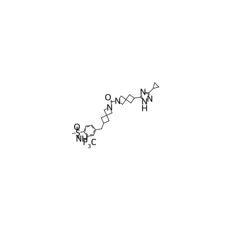 CS(=N)(=O)c1ccc(CC2CC3(C2)CN(C(=O)N2CC4(CC(c5nc(C6CC6)n[nH]5)C4)C2)C3)cc1C(F)(F)F